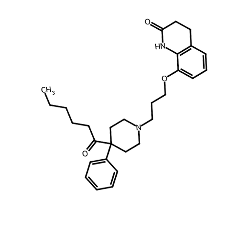 CCCCCC(=O)C1(c2ccccc2)CCN(CCCOc2cccc3c2NC(=O)CC3)CC1